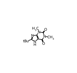 Cn1c(=O)c2[nH]c(C(C)(C)C)nc2n(C)c1=O